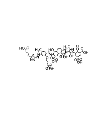 Cc1cc(N=Nc2c(S(=O)(=O)O)cc3c(S(=O)(=O)O)c(N=Nc4c(C)nn(-c5cc(S(=O)(=O)O)cc(C(=O)O)c5O)c4O)ccc3c2O)c(OCCCS(=O)(=O)O)cc1N=Nc1nnc(SCCC(=O)O)s1